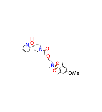 COc1cc(C)c(S(=O)(=O)N(C)CCOCC(=O)N2CCC(O)(C3=NCC=CC3)CC2)c(C)c1